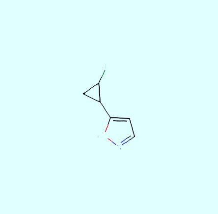 FC1CC1c1ccno1